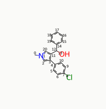 Cn1cc(-c2ccc(Cl)cc2)c(C(O)c2ccccc2)c1